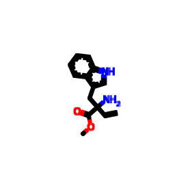 C=CC(N)(Cc1c[nH]c2ccccc12)C(=O)OC